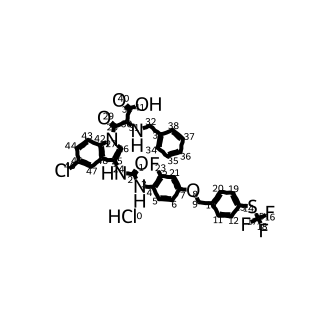 Cl.O=C(Nc1ccc(OCc2ccc(SC(F)(F)F)cc2)cc1F)Nc1cn(C(=O)C(NCc2ccccc2)C(=O)O)c2ccc(Cl)cc12